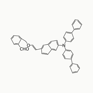 O=Cc1ccccc1COC=Cc1ccc2cc(N(c3ccc(-c4ccccc4)cc3)c3ccc(-c4ccccc4)cc3)ccc2c1